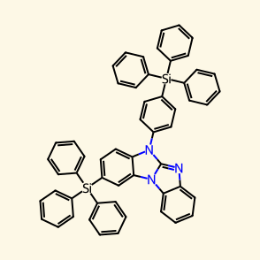 c1ccc([Si](c2ccccc2)(c2ccccc2)c2ccc(-n3c4ccc([Si](c5ccccc5)(c5ccccc5)c5ccccc5)cc4n4c5ccccc5nc34)cc2)cc1